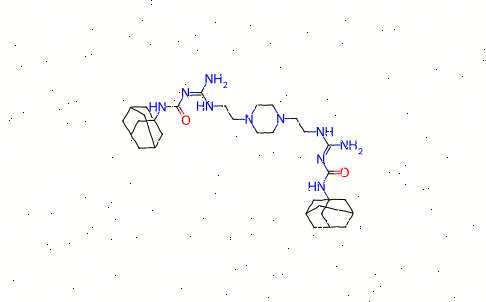 NC(=NC(=O)NC12CC3CC(CC(C3)C1)C2)NCCN1CCN(CCNC(N)=NC(=O)NC23CC4CC(CC(C4)C2)C3)CC1